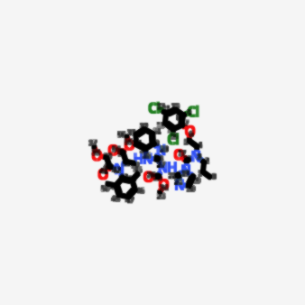 CCCN(CCOc1c(Cl)cc(Cl)cc1Cl)C(=O)n1ccnc1.COC(=O)Nc1nc2ccccc2[nH]1.COCC(=O)N(c1c(C)cccc1C)C(C)C(=O)OC